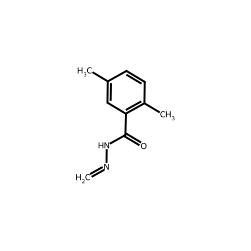 C=NNC(=O)c1cc(C)ccc1C